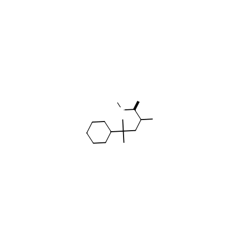 CC(CC(C)(C)C1CCCCC1)C(=O)OO